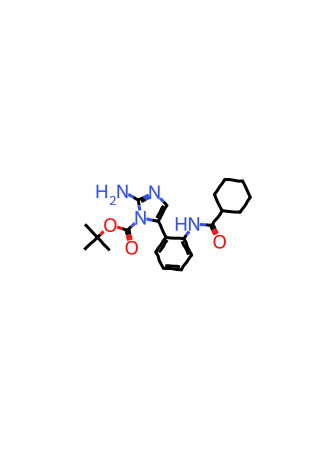 CC(C)(C)OC(=O)n1c(-c2ccccc2NC(=O)C2CCCCC2)cnc1N